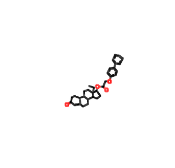 CCC12CCC3C4CCC(=O)C=C4CCC3C1CCC2OC(=O)COc1ccc(-c2ccccc2)cc1